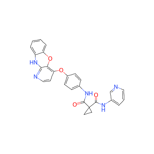 O=C(Nc1ccc(Oc2ccnc3c2Oc2ccccc2N3)cc1)C1(C(=O)Nc2cccnc2)CC1